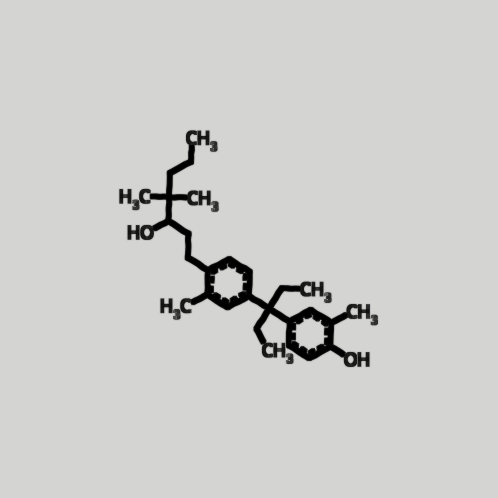 CCCC(C)(C)C(O)CCc1ccc(C(CC)(CC)c2ccc(O)c(C)c2)cc1C